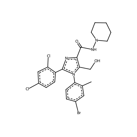 Cc1cc(Br)ccc1-n1c(-c2ccc(Cl)cc2Cl)nc(C(=O)NN2CCCCC2)c1CO